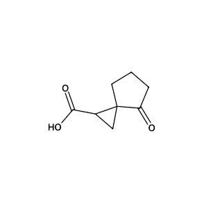 O=C(O)C1CC12CCCC2=O